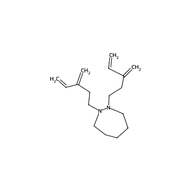 C=CC(=C)CCN1CCCCCN1CCC(=C)C=C